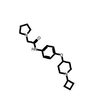 O=C(CN1CCCC1)Nc1ccc(OC2CCN(C3CCC3)CC2)cc1